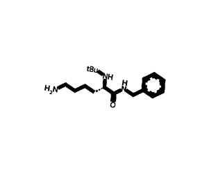 CC(C)(C)N[C@@H](CCCCN)C(=O)NCc1ccccc1